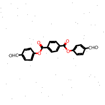 O=[C]c1ccc(OC(=O)c2ccc(C(=O)Oc3ccc([C]=O)cc3)cc2)cc1